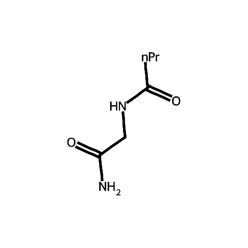 CCCC(=O)NCC(N)=O